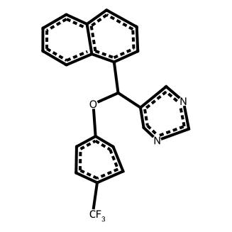 FC(F)(F)c1ccc(OC(c2cncnc2)c2cccc3ccccc23)cc1